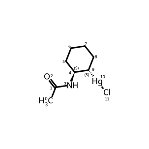 CC(=O)N[C@H]1CCCC[C@@H]1[Hg][Cl]